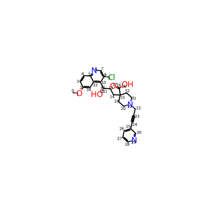 COc1ccc2ncc(Cl)c([C@H](O)CCC3(C(=O)O)CCN(CC#Cc4cccnc4)CC3)c2c1